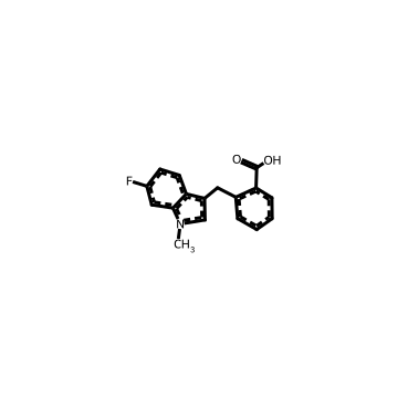 Cn1cc(Cc2ccccc2C(=O)O)c2ccc(F)cc21